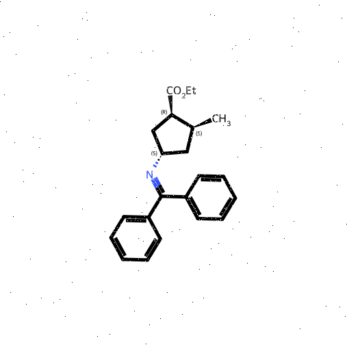 CCOC(=O)[C@@H]1C[C@@H](N=C(c2ccccc2)c2ccccc2)C[C@@H]1C